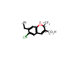 CC(C)Cc1cc2c(cc1Cl)C=C(C(=O)O)[C@H](C(F)(F)F)O2